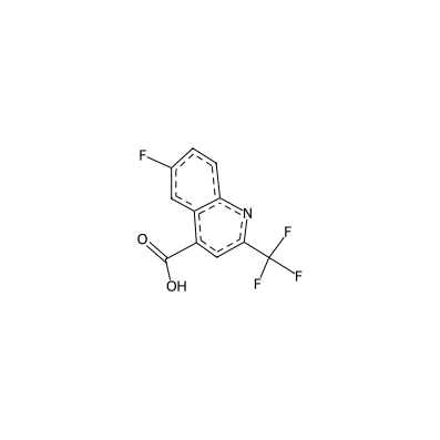 O=C(O)c1cc(C(F)(F)F)nc2ccc(F)cc12